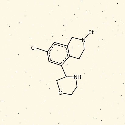 CCN1CCc2c(cc(Cl)cc2C2COCCN2)C1